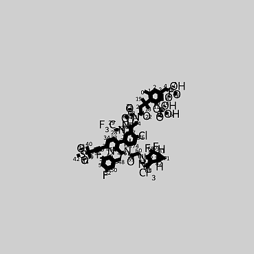 Cc1cc(CP(=O)(O)O)cc(OP(=O)(O)O)c1C(C)(C)CC(=O)N(Cc1nn(CC(F)(F)F)c2c(-c3ccc(C#CC(C)(C)S(C)(=O)=O)nc3[C@H](Cc3cc(F)cc(F)c3)NC(=O)Cn3nc(C(F)(F)F)c4c3C(F)(F)[C@@H]3C[C@H]43)ccc(Cl)c12)[SH](=O)=O